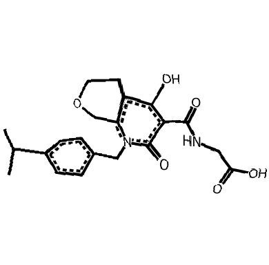 CC(C)c1ccc(Cn2c3c(c(O)c(C(=O)NCC(=O)O)c2=O)CCOC3)cc1